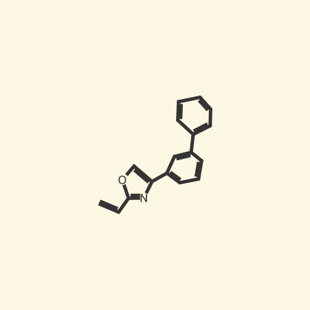 C=Cc1nc(-c2cccc(-c3ccccc3)c2)co1